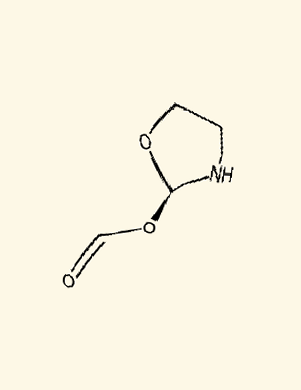 O=CO[C@@H]1NCCO1